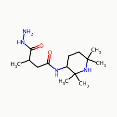 CC(CC(=O)NC1CCC(C)(C)NC1(C)C)C(=O)NN